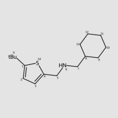 CC(C)(C)c1ccc(CNCC2CCCCC2)s1